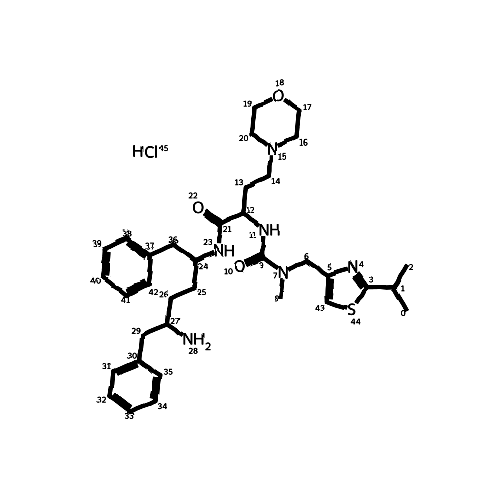 CC(C)c1nc(CN(C)C(=O)NC(CCN2CCOCC2)C(=O)NC(CCC(N)Cc2ccccc2)Cc2ccccc2)cs1.Cl